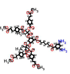 CCC(COC(=O)c1ccc(C=CC(=O)OC)cc1)(COC(=O)c1ccc(C=CC(=O)OC)cc1)C(=O)Oc1cc(OC(=O)C(CC)(COC(=O)c2ccc(C=CC(=O)OC)cc2)COC(=O)c2ccc(C=CC(=O)OC)cc2)cc(C(=O)OCCCCCCOC(=O)c2cc(N)cc(N)c2)c1